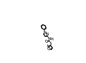 O=C(Cc1ccon1)Nc1ccn(-c2ccccc2)n1